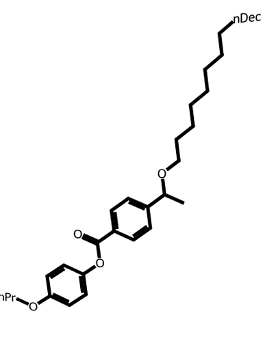 CCCCCCCCCCCCCCCCCCOC(C)c1ccc(C(=O)Oc2ccc(OCCC)cc2)cc1